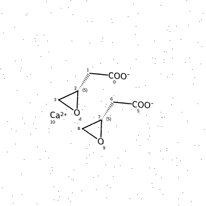 O=C([O-])C[C@H]1CO1.O=C([O-])C[C@H]1CO1.[Ca+2]